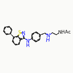 CC(=O)NCCNCc1ccc(Nc2nsc3c(-c4ccccc4)cccc23)cc1